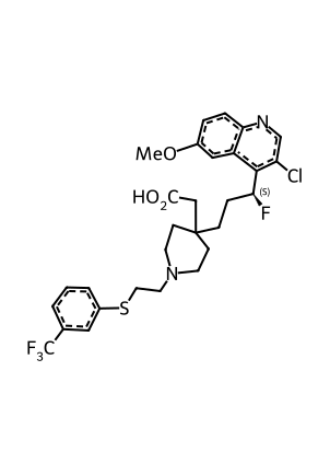 COc1ccc2ncc(Cl)c([C@@H](F)CCC3(CC(=O)O)CCN(CCSc4cccc(C(F)(F)F)c4)CC3)c2c1